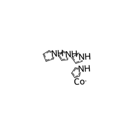 [Co].c1cc[nH]c1.c1cc[nH]c1.c1cc[nH]c1.c1cc[nH]c1